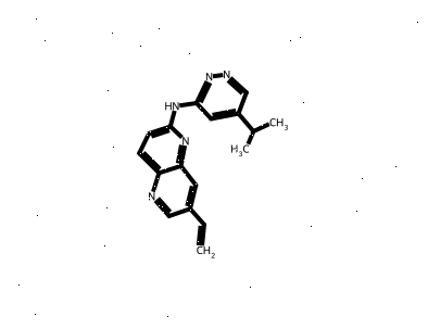 C=Cc1cnc2ccc(Nc3cc(C(C)C)cnn3)nc2c1